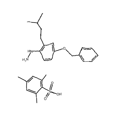 CC(C)CCc1cc(OCc2ccccc2)ccc1NN.Cc1cc(C)c(S(=O)(=O)O)c(C)c1